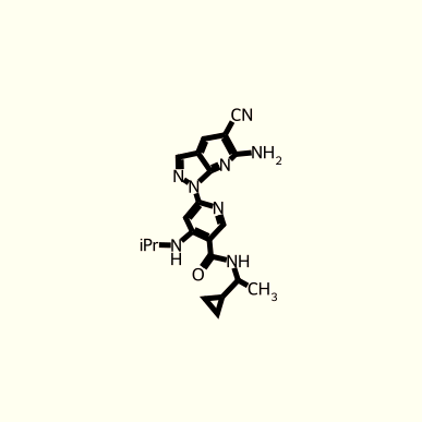 CC(C)Nc1cc(-n2ncc3cc(C#N)c(N)nc32)ncc1C(=O)NC(C)C1CC1